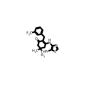 CCCc1scnc1NC1=C(Cc2cccc(C(F)(F)F)c2)C(=O)CC(C)(C)C1